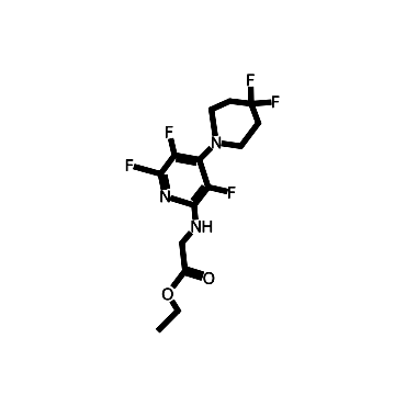 CCOC(=O)CNc1nc(F)c(F)c(N2CCC(F)(F)CC2)c1F